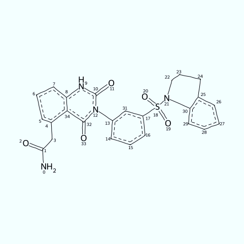 NC(=O)Cc1cccc2[nH]c(=O)n(-c3cccc(S(=O)(=O)N4CCCc5ccccc54)c3)c(=O)c12